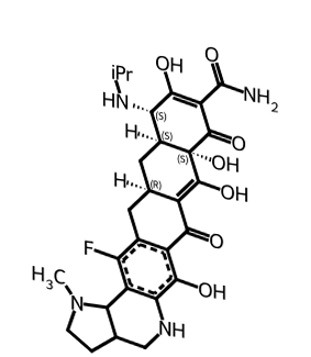 CC(C)N[C@@H]1C(O)=C(C(N)=O)C(=O)[C@@]2(O)C(O)=C3C(=O)c4c(O)c5c(c(F)c4C[C@H]3C[C@@H]12)C1C(CCN1C)CN5